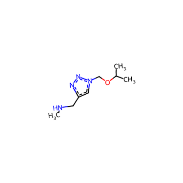 CNCc1cn(COC(C)C)nn1